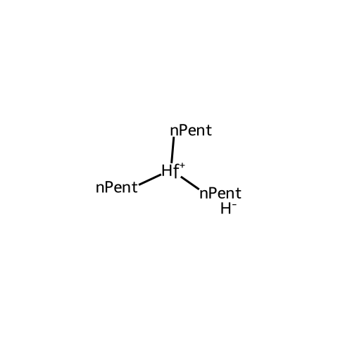 CCCC[CH2][Hf+]([CH2]CCCC)[CH2]CCCC.[H-]